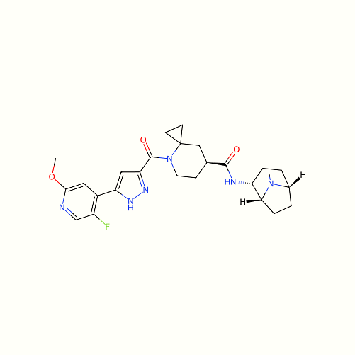 COc1cc(-c2cc(C(=O)N3CC[C@H](C(=O)N[C@@H]4CC[C@@H]5CC[C@H]4N5C)CC34CC4)n[nH]2)c(F)cn1